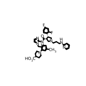 Cc1ccc(Cn2ccnc2NC(=O)[C@@H]2CN(CCCNc3ccccn3)C[C@H]2c2ccc(F)cc2F)c(N2CCC(C(=O)O)CC2)c1